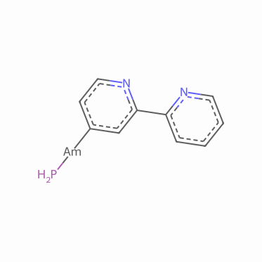 [PH2][Am][c]1ccnc(-c2ccccn2)c1